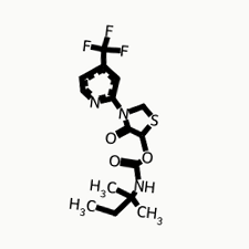 CCC(C)(C)NC(=O)OC1SCN(c2cc(C(F)(F)F)ccn2)C1=O